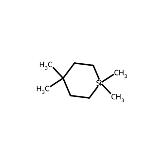 CC1(C)CC[Si](C)(C)CC1